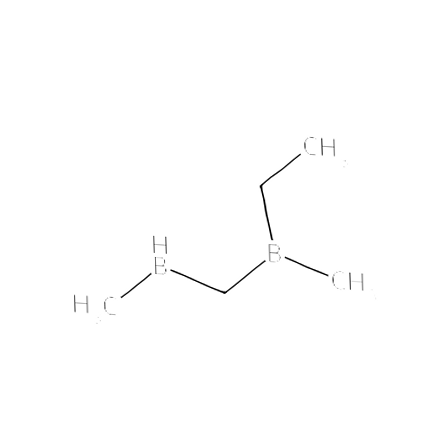 CBCB(C)CC